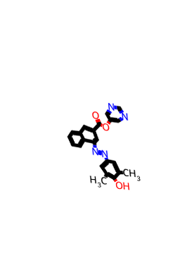 Cc1cc(/N=N/c2cc(C(=O)Oc3cncnc3)cc3ccccc23)cc(C)c1O